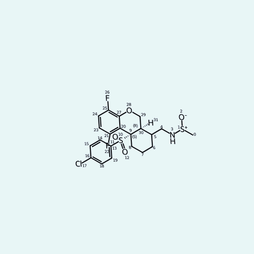 C[S+]([O-])NCC1CCC[C@@]2(S(=O)(=O)c3ccc(Cl)cc3)c3c(F)ccc(F)c3OC[C@@H]12